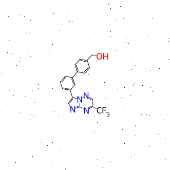 OCc1ccc(-c2cccc(-c3cnc4nc(C(F)(F)F)cnn34)c2)cc1